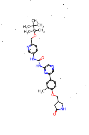 Cc1cc(-c2cncc(NC(=O)Nc3ccc(CO[Si](C)(C)C(C)(C)C)nc3)n2)ccc1OCC1CNC(=O)C1